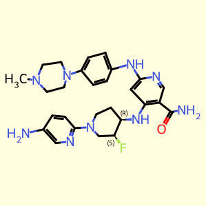 CN1CCN(c2ccc(Nc3cc(N[C@@H]4CCN(c5ccc(N)cn5)C[C@@H]4F)c(C(N)=O)cn3)cc2)CC1